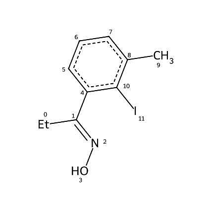 CCC(=NO)c1cccc(C)c1I